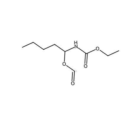 CCCCC(NC(=O)OCC)O[C]=O